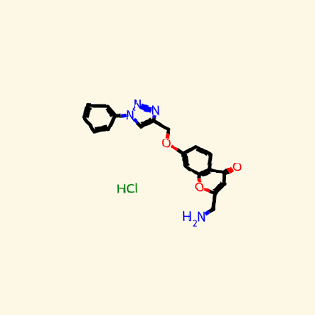 Cl.NCc1cc(=O)c2ccc(OCc3cn(-c4ccccc4)nn3)cc2o1